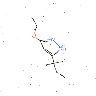 CCOc1cc(C(C)(C)CC)[nH]n1